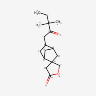 CCC(C)(C)C(=O)CC1CC2CC1CC21COC(=O)C1